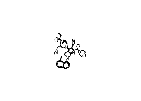 C=CC(=O)N1CCN(c2c(C#N)c(C(=O)N3CCOCC3)nc3c2CCN(c2cccc4cccc(C)c24)C3)C[C@@H]1CC#N